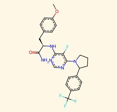 COc1ccc(C[C@@H](Nc2ncnc(N3CCCC3c3ccc(C(F)(F)F)cc3)c2F)C(N)=O)cc1